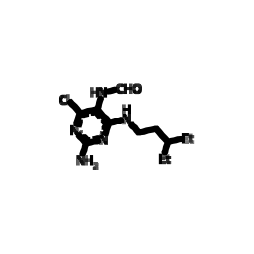 CCC(CC)CCNc1nc(N)nc(Cl)c1NC=O